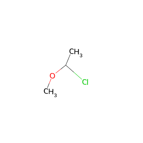 COC(C)Cl